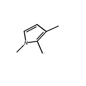 [CH2]c1c(C)ccn1C